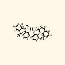 CCc1ccc(-c2ccc3c(c2)C(=O)c2ccccc2C3=O)cc1-c1c(C)ccc2ccccc12